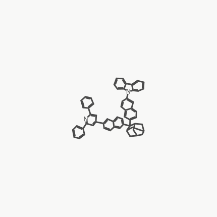 c1ccc(-c2cc(-c3ccc4cc(C5(c6ccc7cc(-n8c9ccccc9c9ccccc98)ccc7c6)C6CC7CC(C6)CC5C7)ccc4c3)cc(-c3ccccc3)n2)cc1